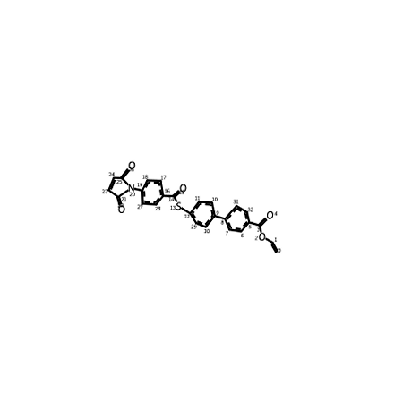 C=COC(=O)c1ccc(-c2ccc(SC(=O)c3ccc(N4C(=O)C=CC4=O)cc3)cc2)cc1